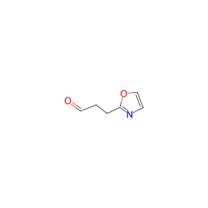 O=CCCc1ncco1